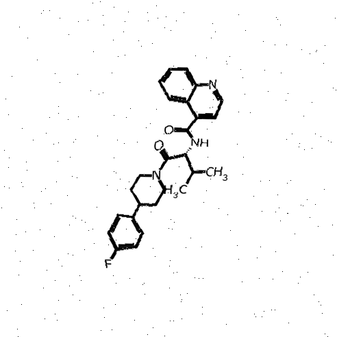 CC(C)[C@@H](NC(=O)c1ccnc2ccccc12)C(=O)N1CCC(c2ccc(F)cc2)CC1